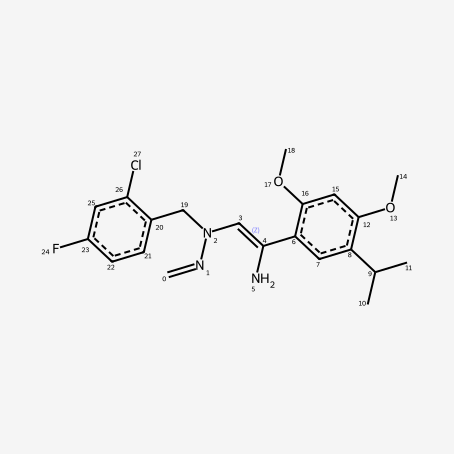 C=NN(/C=C(\N)c1cc(C(C)C)c(OC)cc1OC)Cc1ccc(F)cc1Cl